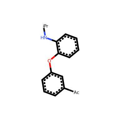 CC(=O)c1cccc(Oc2ccccc2NC(C)C)c1